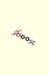 CC(C)N(C(=O)Nc1ccc(-c2ccc(C(=O)N[C@H](C(=O)NO)[C@@H](C)O)cc2)cc1)C(C)C